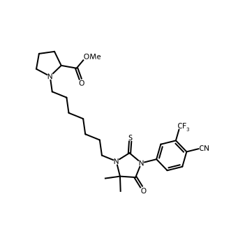 COC(=O)C1CCCN1CCCCCCCN1C(=S)N(c2ccc(C#N)c(C(F)(F)F)c2)C(=O)C1(C)C